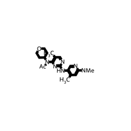 CNc1cc(C)c(Nc2ncc(C)c(N(C(C)=O)C3CCOCC3)n2)cn1